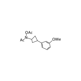 COc1cccc(C2CC(N(OC(C)=O)C(C)=O)C2)c1